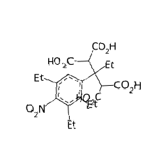 CCc1cc(C(CC)(C(C(=O)O)C(=O)O)C(C(=O)O)C(=O)O)c(CC)c(CC)c1[N+](=O)[O-]